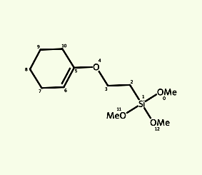 CO[Si](CCOC1=CCCCC1)(OC)OC